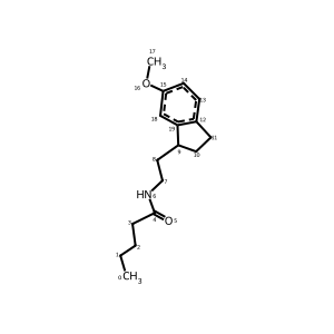 CCCCC(=O)NCCC1CCc2ccc(OC)cc21